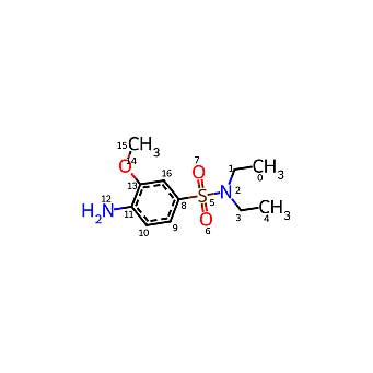 CCN(CC)S(=O)(=O)c1ccc(N)c(OC)c1